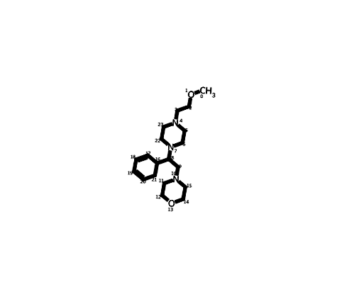 COCCN1CCN(C(CN2CCOCC2)C2C=CC=CC2)CC1